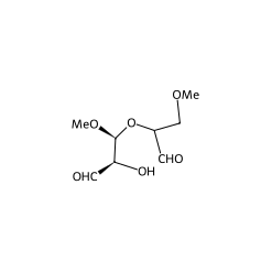 COCC(C=O)O[C@H](OC)[C@@H](O)C=O